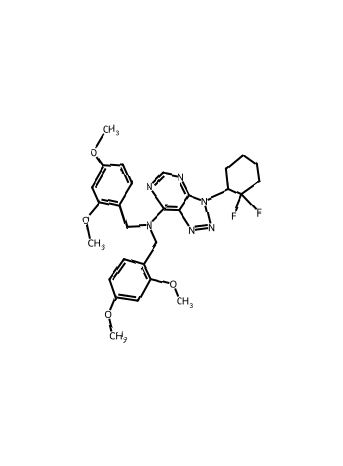 COc1ccc(CN(Cc2ccc(OC)cc2OC)c2ncnc3c2nnn3C2CCCCC2(F)F)c(OC)c1